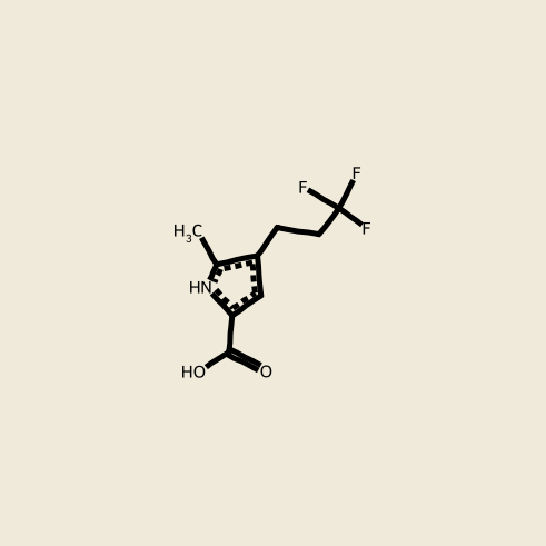 Cc1[nH]c(C(=O)O)cc1CCC(F)(F)F